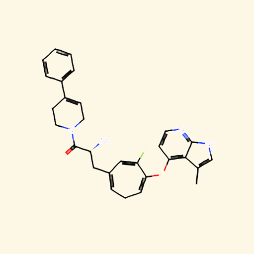 Cc1c[nH]c2nccc(OC3=CCC=C(C[C@H](N)C(=O)N4CC=C(c5ccccc5)CC4)C=C3F)c12